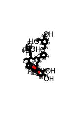 CC/C(=C(\C#CC(O)(C(F)(F)F)C(F)(F)F)CCC(=CC=CC(O)(C(F)(F)F)C(F)(F)F)c1cccc(OCc2ccc(CO)c(CO)c2)c1)c1cccc(OCc2ccc(CO)c(CO)c2)c1